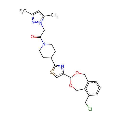 Cc1cc(C(F)(F)F)nn1CC(=O)N1CCC(c2nc(C3OCc4cccc(CCl)c4CO3)cs2)CC1